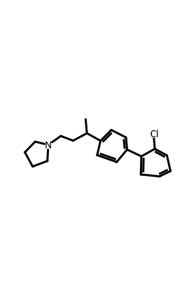 CC(CCN1CCCC1)c1ccc(-c2ccccc2Cl)cc1